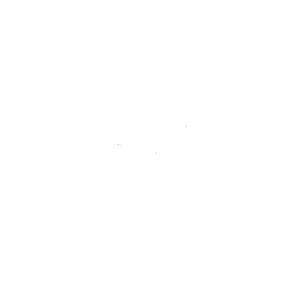 Cc1ccn2c(C)cc(N3CCOCC3)nc12